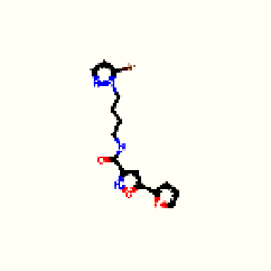 O=C(NCCCCn1nccc1Br)c1cc(-c2ccco2)on1